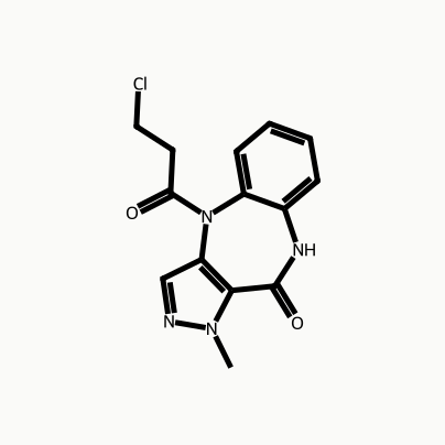 Cn1ncc2c1C(=O)Nc1ccccc1N2C(=O)CCCl